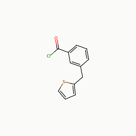 O=C(Cl)c1cccc(Cc2cccs2)c1